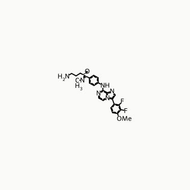 CN=S(=O)(CCCN)c1ccc(Nc2nccn3c(-c4ccc(OC)c(F)c4F)cnc23)cc1